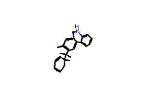 Cc1cc2c(cc1C(C)(C)C1(C)C=CC=CC1)-c1ccccc1NC2